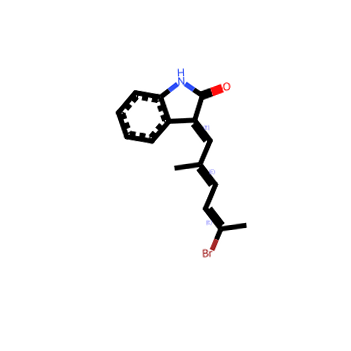 C\C(Br)=C/C=C(C)/C=C1/C(=O)Nc2ccccc21